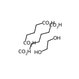 O=C(O)CCCC(=O)O.O=C(O)CCCCC(=O)O.OCCO